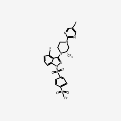 CC(C)S(=O)(=O)c1ccc(S(=O)(=O)n2nc(N3CCN(c4ncc(F)cn4)C[C@@H]3C(F)(F)F)c3c(F)cccc32)cc1